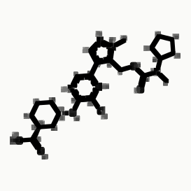 CN(C(=O)OCc1c(-c2cnc(O[C@H]3CCC[C@H](C(=O)O)C3)c(Cl)n2)cnn1C)C1CCCC1